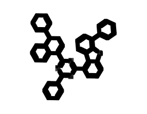 C1=CC(C2CC=C(c3nc(-c4ccccc4)nc(-c4cccc5oc6c(-c7ccccc7)cccc6c45)n3)c3ccccc32)=CCC1